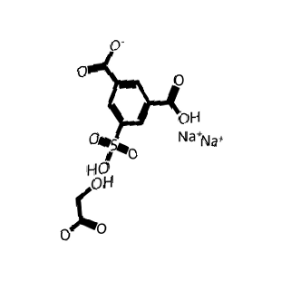 O=C([O-])CO.O=C([O-])c1cc(C(=O)O)cc(S(=O)(=O)O)c1.[Na+].[Na+]